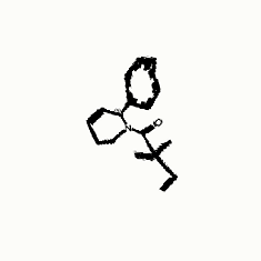 C=CC(C)(C)C(=O)N1CCC=C[C@H]1c1ccccc1